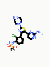 CCCS(=O)(=O)Nc1cccc(-c2nc(N3CCNCC3)sc2-c2ccnc(N)n2)c1Cl